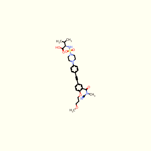 COCCCOc1ccc(C#Cc2ccc(N3CCN(S(=O)(=O)N[C@@H](C(=O)O)C(C)C)CC3)cc2)cc1C(=O)N(C)C#N